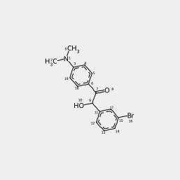 CN(C)c1ccc(C(=O)C(O)c2cccc(Br)c2)cc1